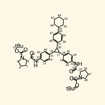 CC(C)(C)OC(=O)N1CCC[C@H]1C(=O)Nc1ccc(C2C(c3ccc(NC(=O)[C@@H]4CCCN4C(=O)OC(C)(C)C)cc3)C2c2ccc(C3CCCCC3)cc2)cc1